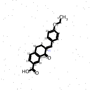 CCOc1ccc(/C=C2\CCc3ccc(C(=O)O)cc3C2=O)cc1